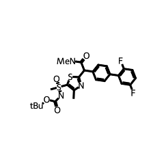 CNC(=O)C(c1ccc(-c2cc(F)ccc2F)cc1)c1nc(C)c(S(C)(=O)=NC(=O)OC(C)(C)C)s1